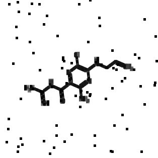 C=CCNc1nc(N)c(C(=O)NC(=N)N)nc1Cl